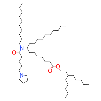 CCCCCCCCCCC(CCCCCCC(=O)OCCC(CCCCC)CCCCC)N(CCCCCCCCCC)C(=O)CCCCN1CCCC1